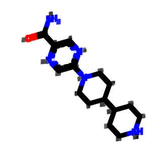 NC(=O)c1cnc(N2CCC(C3CCNCC3)CC2)cn1